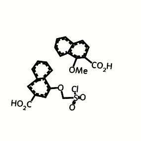 COc1c(C(=O)O)ccc2ccccc12.O=C(O)c1cc(OCS(=O)(=O)Cl)c2ccccc2c1